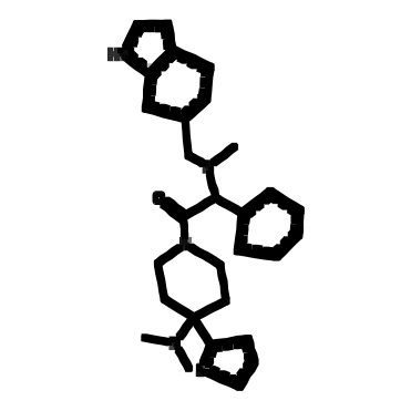 CN(Cc1ccc2cc[nH]c2c1)C(C(=O)N1CCC(c2cccs2)(N(C)C)CC1)c1ccccc1